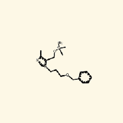 Cc1ncn(CCCOCc2ccccc2)c1CO[Si](C)(C)C(C)(C)C